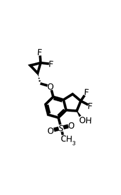 CS(=O)(=O)c1ccc(OC[C@@H]2CC2(F)F)c2c1[C@H](O)C(F)(F)C2